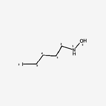 ONCCCCI